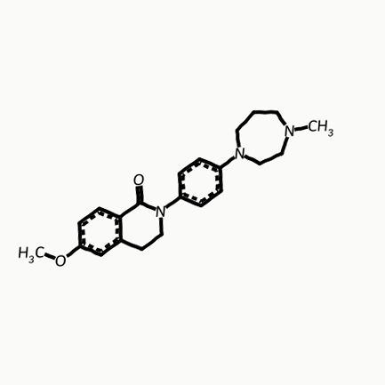 COc1ccc2c(c1)CCN(c1ccc(N3CCCN(C)CC3)cc1)C2=O